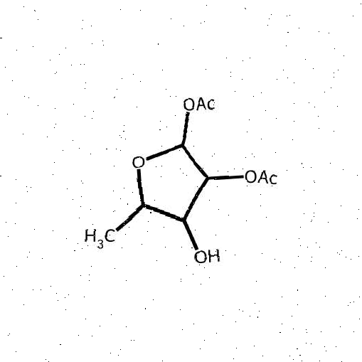 CC(=O)OC1OC(C)C(O)C1OC(C)=O